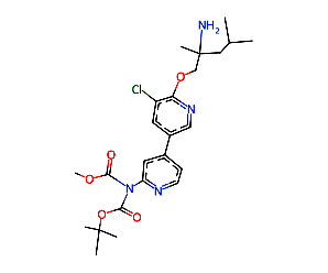 COC(=O)N(C(=O)OC(C)(C)C)c1cc(-c2cnc(OCC(C)(N)CC(C)C)c(Cl)c2)ccn1